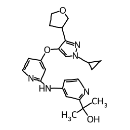 CC(C)(O)c1cc(Nc2cc(Oc3cn(C4CC4)nc3C3CCOC3)ccn2)ccn1